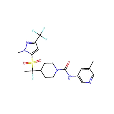 Cc1cncc(NC(=O)N2CCC(C(C)(F)S(=O)(=O)c3cc(C(F)(F)F)nn3C)CC2)c1